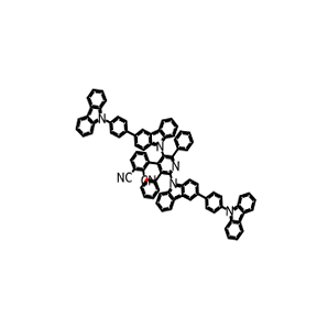 N#Cc1cccc(-c2c(-c3ccccc3)c(-n3c4ccccc4c4cc(-c5ccc(-n6c7ccccc7c7ccccc76)cc5)ccc43)nc(-c3ccccc3)c2-n2c3ccccc3c3cc(-c4ccc(-n5c6ccccc6c6ccccc65)cc4)ccc32)c1C#N